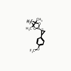 CC1(C)OB([C@H]2CC2c2ccc(OC(F)(F)F)cc2)OC1(C)C